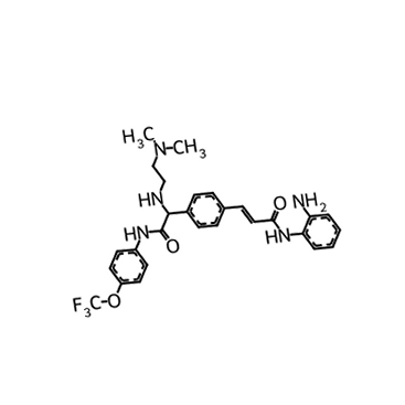 CN(C)CCNC(C(=O)Nc1ccc(OC(F)(F)F)cc1)c1ccc(C=CC(=O)Nc2ccccc2N)cc1